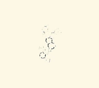 Fc1c(Cl)cccc1Nc1ncnc2cc(O[C@H]3CCOC3)c(O[C@@H]3CCOC3)cc12